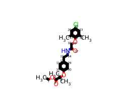 CCOC(=O)C(C)(C)Oc1ccc(CCNC(=O)COc2c(C)cc(Cl)cc2C)cc1